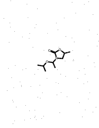 CC(C)OC(C)N1CC(C)OC1=O